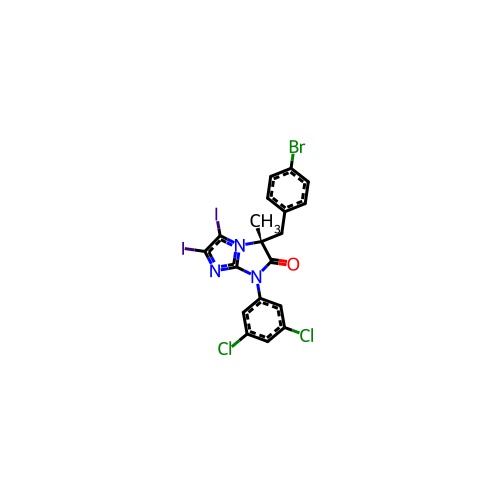 C[C@@]1(Cc2ccc(Br)cc2)C(=O)N(c2cc(Cl)cc(Cl)c2)c2nc(I)c(I)n21